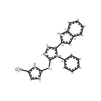 O=[N+]([O-])c1cnc(Sc2nnc(-c3cc4ccccc4s3)n2-c2ccccc2)s1